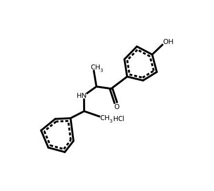 CC(NC(C)c1ccccc1)C(=O)c1ccc(O)cc1.Cl